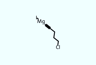 ClCCCC#[C][Mg][I]